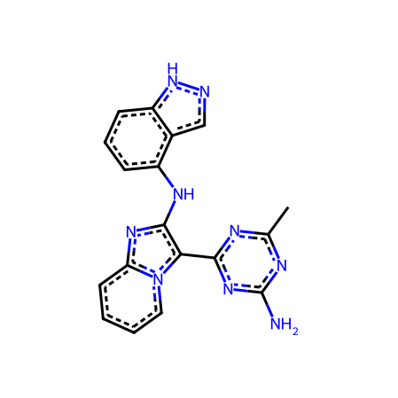 Cc1nc(N)nc(-c2c(Nc3cccc4[nH]ncc34)nc3ccccn23)n1